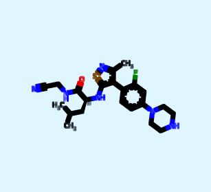 Cc1nsc(N[C@@H](CC(C)C)C(=O)NCC#N)c1-c1ccc(N2CCNCC2)cc1F